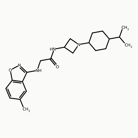 Cc1ccc2onc(NCC(=O)NC3CN(C4CCC(C(C)C)CC4)C3)c2c1